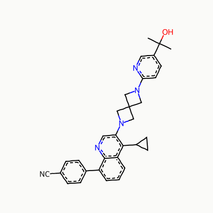 CC(C)(O)c1ccc(N2CC3(C2)CN(c2cnc4c(-c5ccc(C#N)cc5)cccc4c2C2CC2)C3)nc1